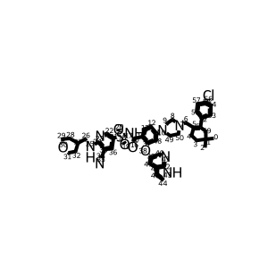 CC1(C)CCC(CN2CCN(c3ccc(C(=O)NS(=O)(=O)c4cnc(NCC5CCOCC5)c(C#N)c4)c(Oc4cnc5[nH]ccc5c4)c3)CC2)=C(c2ccc(Cl)cc2)C1